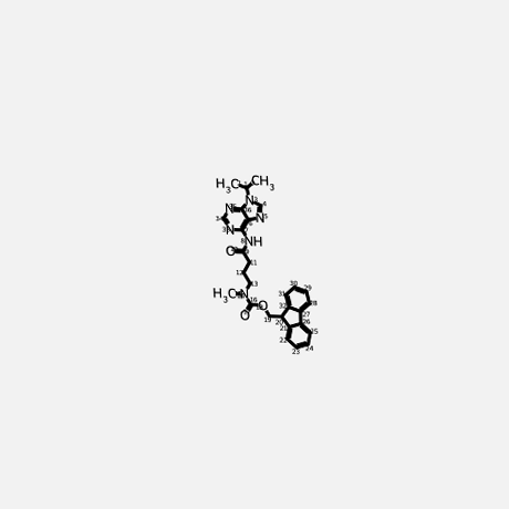 CC(C)n1cnc2c(NC(=O)CCCN(C)C(=O)OCC3c4ccccc4-c4ccccc43)ncnc21